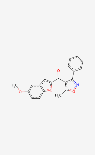 Cc1onc(-c2ccccc2)c1C(=O)c1cc2cc(OC(F)(F)F)ccc2o1